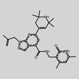 C=C(C)Cn1ncc2c(C(=O)NCc3c(C)cc(C)[nH]c3=O)cc(C3=CC(C)(C)NC(C)(C)C3)nc21